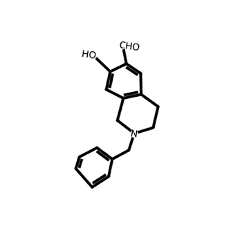 O=Cc1cc2c(cc1O)CN(Cc1ccccc1)CC2